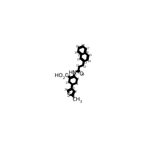 Cc1cc(C2CCC(NC(=O)CCc3ccc4ccccc4c3)=C(C(=O)O)C2)cs1